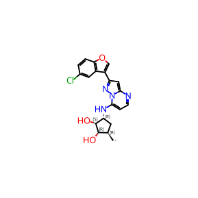 [CH2][C@@H]1C[C@@H](Nc2ccnc3cc(-c4coc5ccc(Cl)cc45)nn23)[C@H](O)[C@@H]1O